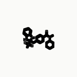 CN(C(=O)c1ccc(CC2(S(C)(=O)=O)Nc3ccccc3N2)cc1)C1CCCCC1